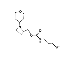 CC(C)CCCNC(=O)OCC1CCN1C1CCOCC1